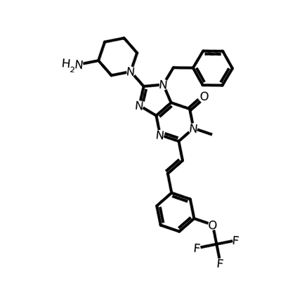 Cn1c(C=Cc2cccc(OC(F)(F)F)c2)nc2nc(N3CCCC(N)C3)n(Cc3ccccc3)c2c1=O